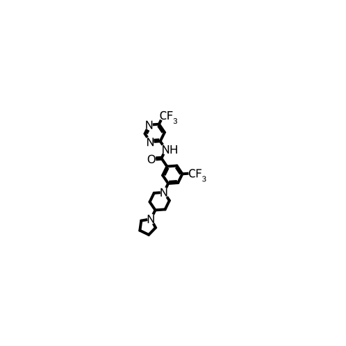 O=C(Nc1cc(C(F)(F)F)ncn1)c1cc(N2CCC(N3CCCC3)CC2)cc(C(F)(F)F)c1